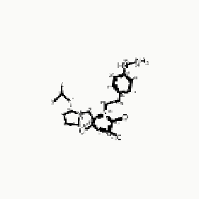 CC(C)C[C@H]1CCCN1Cc1c(Cl)cc(Cl)c(=O)n1CCc1ccc(NN)cc1